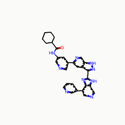 O=C(Nc1cncc(-c2cc3c(-c4nc5c(-c6cccnc6)cncc5[nH]4)n[nH]c3cn2)c1)C1CCCCC1